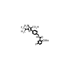 COc1ccc(F)cc1C(=O)NCc1ccc(-c2nc(C(C)C(F)(F)F)n(N)c2C(=O)O)cc1